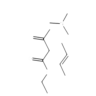 CC=CC.CCOC(=O)CC(C)=O.CN(C)C